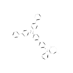 CC1=Cc2c(n(-c3ccc(-c4ccc(N(c5ccc(C6=CC=CCC6)cc5)c5ccc(-c6ccccc6)cc5)cc4)cc3)c3ccccc23)C(C)CC1